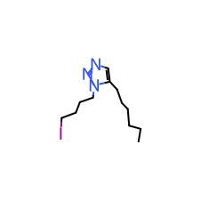 CCCCCCc1cnnn1CCCCI